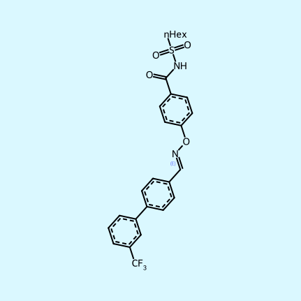 CCCCCCS(=O)(=O)NC(=O)c1ccc(O/N=C/c2ccc(-c3cccc(C(F)(F)F)c3)cc2)cc1